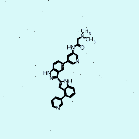 CN(C)CC(=O)Nc1cncc(-c2ccc3[nH]nc(-c4cc5c(-c6cccnc6)cccc5[nH]4)c3c2)c1